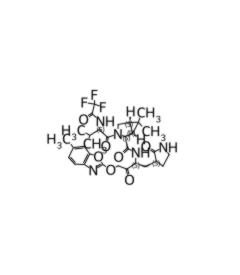 Cc1ccc2nc(OCC(=O)[C@H](C[C@@H]3CCNC3=O)NC(=O)[C@@H]3[C@@H]4[C@H](CN3C(=O)[C@@H](NC(=O)C(F)(F)F)C(C)C)C4(C)C)oc2c1